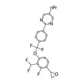 CCCc1cnc(-c2ccc(C(F)(F)Oc3ccc(C4CO4)c(F)c3C(F)F)cc2)nc1